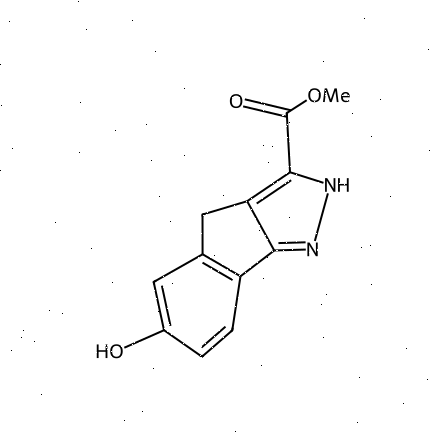 COC(=O)c1[nH]nc2c1Cc1cc(O)ccc1-2